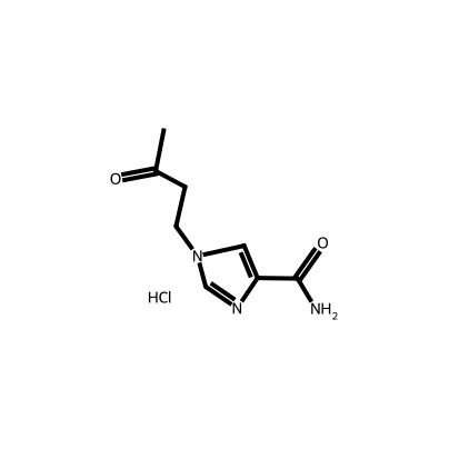 CC(=O)CCn1cnc(C(N)=O)c1.Cl